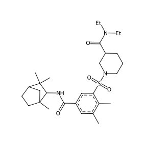 CCN(CC)C(=O)C1CCCN(S(=O)(=O)c2cc(C(=O)NC3C4(C)CCC(C4)C3(C)C)cc(C)c2C)C1